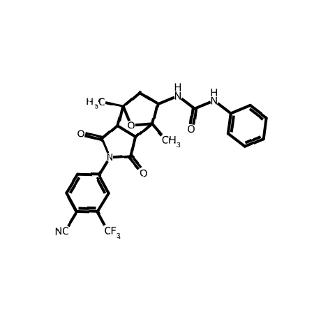 CC12CC(NC(=O)Nc3ccccc3)C(C)(O1)C1C(=O)N(c3ccc(C#N)c(C(F)(F)F)c3)C(=O)C12